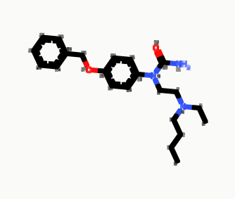 CCCCN(CC)CCN(C(N)=O)c1ccc(OCc2ccccc2)cc1